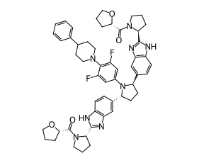 O=C([C@@H]1CCCO1)N1CCC[C@H]1c1nc2cc([C@H]3CC[C@H](c4ccc5[nH]c([C@@H]6CCCN6C(=O)[C@@H]6CCCO6)nc5c4)N3c3cc(F)c(N4CCC(c5ccccc5)CC4)c(F)c3)ccc2[nH]1